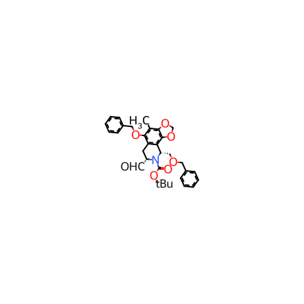 Cc1c(OCc2ccccc2)c2c(c3c1OCO3)[C@H](COCc1ccccc1)N(C(=O)OC(C)(C)C)[C@H](C=O)C2